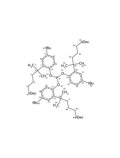 CCCCCCCCCCCCCC(C)(C)c1cc(C(C)(C)C)ccc1OP(Oc1ccc(C(C)(C)C)cc1C(C)(C)CCCCCCCCCCCCC)Oc1ccc(C(C)(C)C)cc1C(C)(C)CCCCCCCCCCCCC